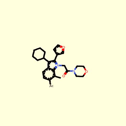 CC(=O)c1ccc2c(C3CCCCC3)c(-c3ccoc3)n(CC(=O)N3CCOCC3)c2c1C